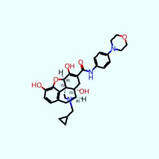 O=C(Nc1ccc(N2CCOCC2)cc1)C1=C(O)[C@@H]2Oc3c(O)ccc4c3[C@@]23CCN(CC2CC2)[C@H](C4)[C@]3(O)C1